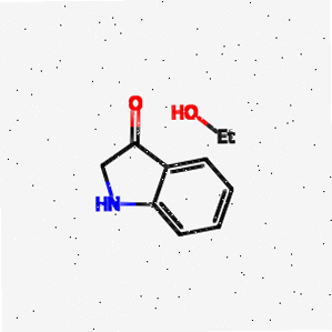 CCO.O=C1CNc2ccccc21